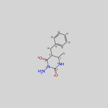 CC1NC(=O)N(N)C(=O)C1Cc1ccccc1